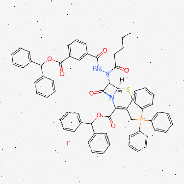 CCCCC(=O)N(NC(=O)c1cccc(C(=O)OC(c2ccccc2)c2ccccc2)c1)C1C(=O)N2C(C(=O)OC(c3ccccc3)c3ccccc3)=C(C[P+](c3ccccc3)(c3ccccc3)c3ccccc3)CS[C@H]12.[I-]